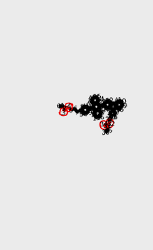 C=CC(=O)OCCCc1ccc(-c2c3ccccc3c(-c3ccc4c(c3)C(C=C)(CCCOC(=O)C=C)c3ccccc3-4)c3ccccc23)cc1